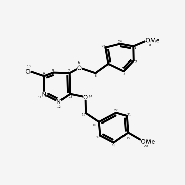 COc1ccc(COc2cc(Cl)nnc2OCc2ccc(OC)cc2)cc1